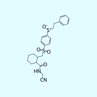 N#CCNC(=O)C1CCCCC1CS(=O)(=O)c1ccc([S+]([O-])CCc2ccccc2)cc1